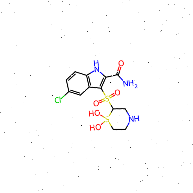 NC(=O)c1[nH]c2ccc(Cl)cc2c1S(=O)(=O)C1CNCCS1(O)O